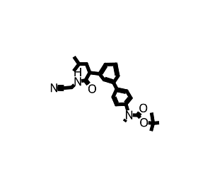 CC(C)CC(C(=O)NCC#N)c1cccc(-c2ccc(N(C)C(=O)OC(C)(C)C)cc2)c1